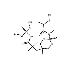 CCCCOP(=O)(NC(=O)C(C)(C)CC1(C)COP(=O)(N(C)C(=O)C(C)SS)OC1)OCCCC